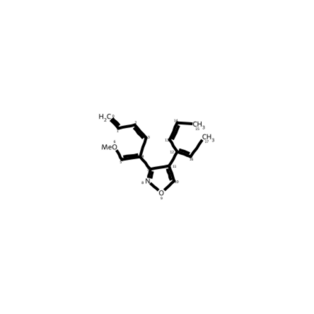 C=C/C=C\C(=C/OC)c1nocc1C(/C=C\C)=C/C